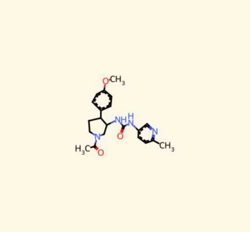 COc1ccc(C2CCN(C(C)=O)CC2NC(=O)Nc2ccc(C)nc2)cc1